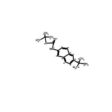 CC(C)(C)OC(=O)Nc1ccc2cc(C(C)(C)N)ccc2c1